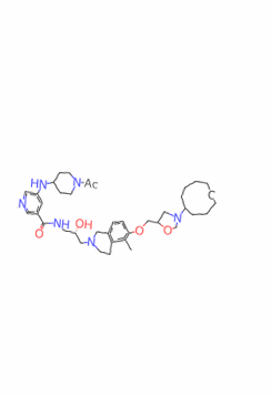 CC(=O)N1CCC(Nc2cncc(C(=O)NC[C@H](O)CN3CCc4c(ccc(OCC5CN(C6CCCCCCCC6)CO5)c4C)C3)c2)CC1